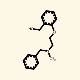 CN(CCOc1ccccc1CC#N)Cc1ccccc1